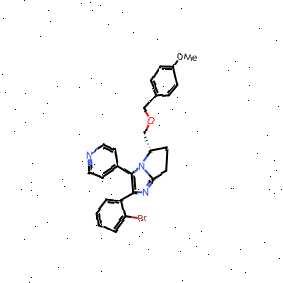 COc1ccc(COC[C@@H]2CCc3nc(-c4ccccc4Br)c(-c4ccncc4)n32)cc1